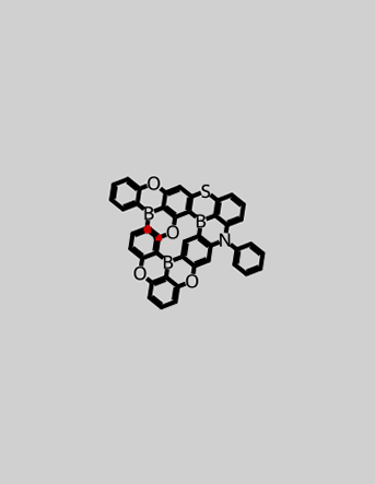 c1ccc(N2c3cc4c(cc3B3c5c(cccc52)Sc2cc5c6c(c23)Oc2ccccc2B6c2ccccc2O5)B2c3ccccc3Oc3cccc(c32)O4)cc1